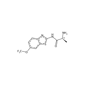 C[C@H](N)C(=O)Nc1nc2ccc(OC(F)(F)F)cc2s1